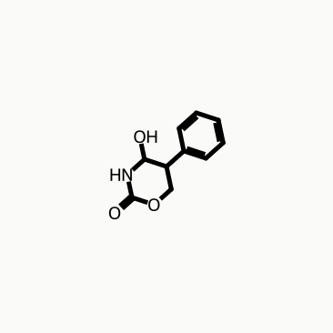 O=C1NC(O)C(c2ccccc2)CO1